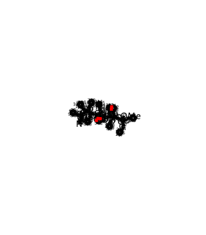 COC1C(OCc2ccccc2)[C@@H](COCc2ccccc2)O[C@H]1OCC(OCc1ccccc1)C(OCc1ccccc1)C(COP(=O)(OCc1ccccc1)OC1C(OC)[C@H](OCC(OCc2ccccc2)C(OCc2ccccc2)C(COP(=O)(OCc2ccccc2)ON=[N+]=[N-])OCc2ccccc2)O[C@@H]1COCc1ccccc1)OCc1ccccc1